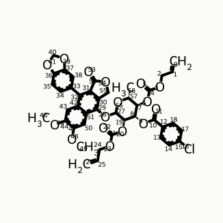 C=CCOC(=O)O[C@H]1[C@H](OC(=O)c2ccc(Cl)cc2)[C@@H](OC(=O)OCC=C)C(Oc2c3c(c(-c4ccc5c(c4)OCO5)c4cc(OC)c(OC)cc24)C(=O)OC3)O[C@@H]1C